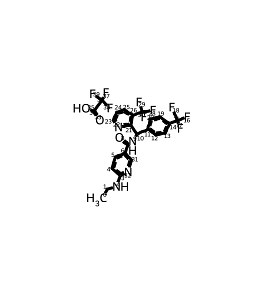 CCNc1ccc(C(=O)NC(c2ccc(C(F)(F)F)cc2)c2ncccc2C(F)(F)F)cn1.O=C(O)C(F)(F)F